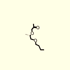 CCCCOC[C@H](C)OCC(C)=O